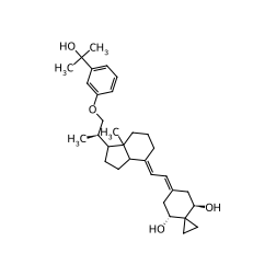 C[C@@H](COc1cccc(C(C)(C)O)c1)C1CCC2/C(=C/C=C3C[C@@H](O)C4(CC4)[C@H](O)C3)CCCC21C